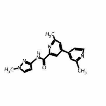 Cc1cc(-c2cc(C)nc(C(=O)Nc3ccn(C)n3)c2)ccn1